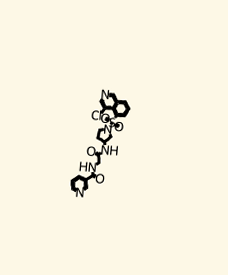 O=C(CNC(=O)c1cccnc1)NC1CCN(S(=O)(=O)c2cccc3cncc(Cl)c23)C1